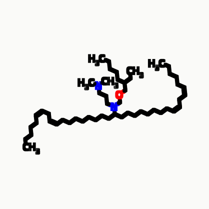 CCCCC/C=C\C/C=C\CCCCCCCCC(CCCCCCCC/C=C\C/C=C\CCCCC)N(CCCN(C)C)COCC(CC)CCCCC